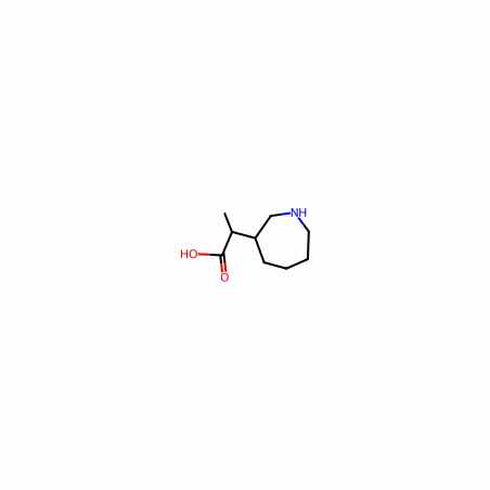 CC(C(=O)O)C1CCCCNC1